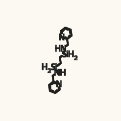 c1ccc(CN[SiH2]CC[SiH2]NCc2ccccn2)nc1